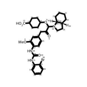 COc1cc(CC(=O)C(OC2CCC(C(=O)O)CC2)N2CC[C@H]3CCCC[C@H]32)ccc1NC(=O)Nc1ccccc1Br